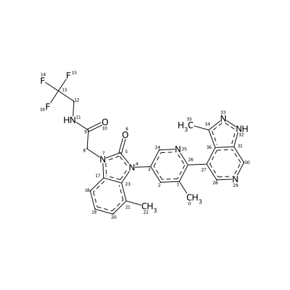 Cc1cc(-n2c(=O)n(CC(=O)NCC(F)(F)F)c3cccc(C)c32)cnc1-c1cncc2[nH]nc(C)c12